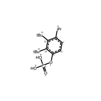 CC(C)c1ccc(OP(=O)(O)O)c(C(C)(C)C)c1C(C)(C)C